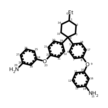 CCC1CCC(c2ccc(Oc3cccc(N)c3)cc2)(c2ccc(Oc3cccc(N)c3)cc2)CC1